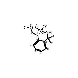 CC1(C)NS(=O)(=O)N(CC=O)c2ccccc21